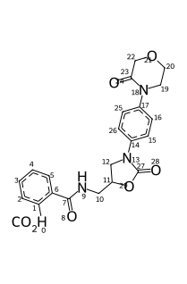 O=C(O)c1ccccc1C(=O)NCC1CN(c2ccc(N3CCOCC3=O)cc2)C(=O)O1